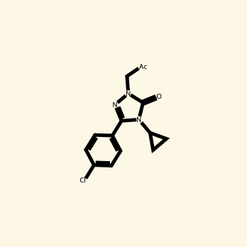 CC(=O)Cn1nc(-c2ccc(Cl)cc2)n(C2CC2)c1=O